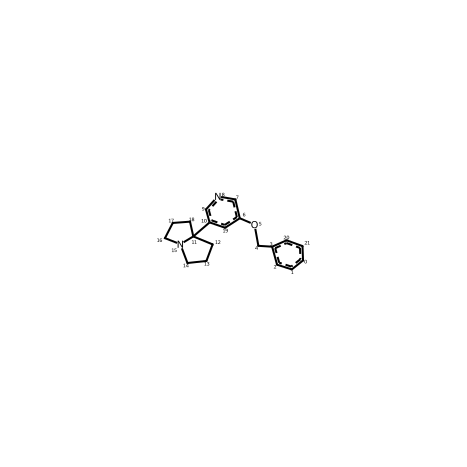 c1ccc(COc2cncc(C34CCCN3CCC4)c2)cc1